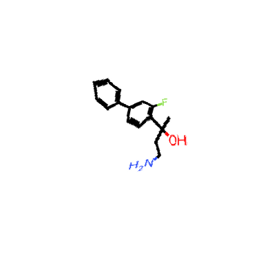 CC(O)(CCN)c1ccc(-c2ccccc2)cc1F